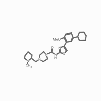 COc1ccc(C2CCCCC2)cc1-c1csc(NC(=O)N2CCN(CC3CCCCN3C)CC2)n1